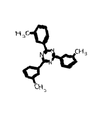 Cc1cccc(-c2nc(-c3cccc(C)c3)nc(-c3cccc(C)c3)n2)c1